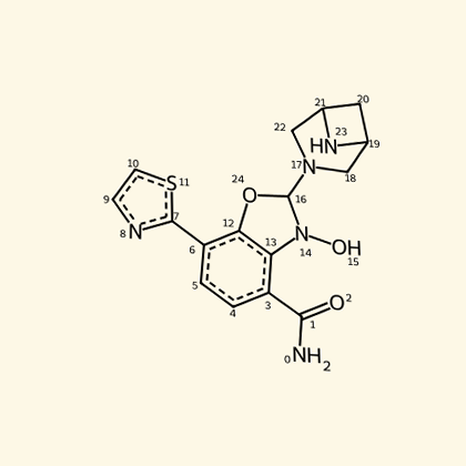 NC(=O)c1ccc(-c2nccs2)c2c1N(O)C(N1CC3CC(C1)N3)O2